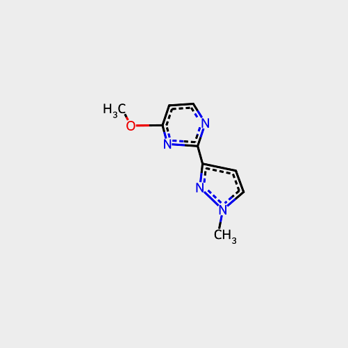 COc1ccnc(-c2ccn(C)n2)n1